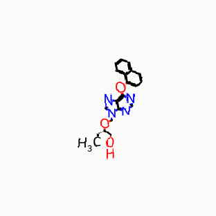 CC[C@@H](CO)OCn1cnc2c(Oc3cccc4ccccc34)ncnc21